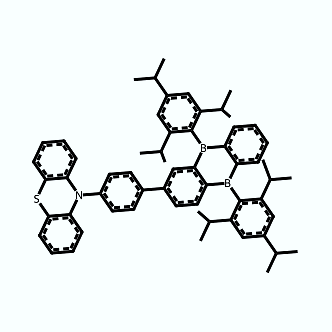 CC(C)c1cc(C(C)C)c(B2c3ccccc3B(c3c(C(C)C)cc(C(C)C)cc3C(C)C)c3cc(-c4ccc(N5c6ccccc6Sc6ccccc65)cc4)ccc32)c(C(C)C)c1